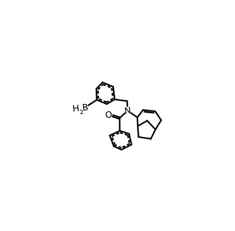 Bc1cccc(CN(C(=O)c2ccccc2)C2C=CCC3CCC2C3)c1